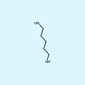 [NH]CCCCC[NH]